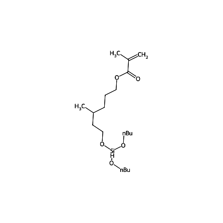 C=C(C)C(=O)OCCCC(C)CCO[SiH](OCCCC)OCCCC